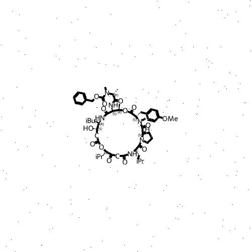 CC[C@H](C)[C@H]1NC(=O)[C@@H](NC(=O)[C@@H](C)N(C)C(=O)OCc2ccccc2)[C@@H](C)OC(=O)[C@H](Cc2ccc(OC)cc2)N(C)C(=O)[C@@H]2CCCN2C(=O)[C@H](CC(C)C)NC(=O)CC(=O)[C@H](C(C)C)OC(=O)C[C@@H]1O